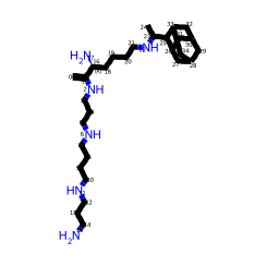 C=C(NCCCNCCCCNCCCN)[C@H](N)CCCCNC(C)C1C2CC3CC(C2)CC1C3